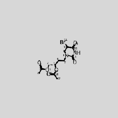 CC(=O)OC[C@H](CCN1CC(Br)C(=O)NC1=O)OC(C)=O